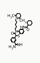 C[C@@H]1CCC[C@H](C)N1CCCCCN1C(=O)C(c2cccc(C(=N)N)c2)Sc2ccc(NC(=O)C3CCCCC3)cc21